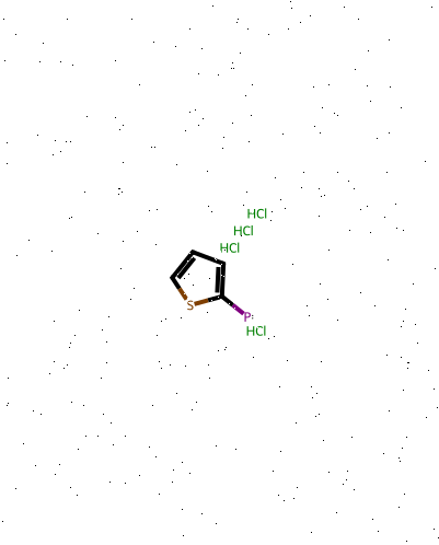 Cl.Cl.Cl.Cl.[P]c1cccs1